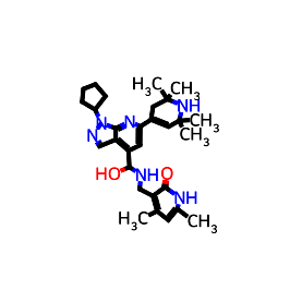 Cc1cc(C)c(CNC(O)c2cc(C3=CC(C)(C)NC(C)(C)C3)nc3c2cnn3C2CCCC2)c(=O)[nH]1